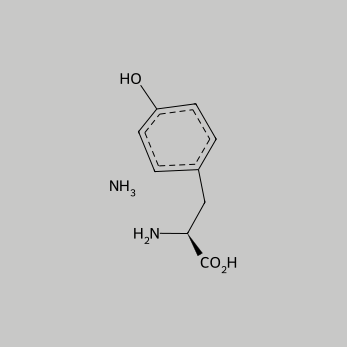 N.N[C@@H](Cc1ccc(O)cc1)C(=O)O